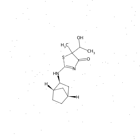 CC(O)C1(C)SC(N[C@H]2C[C@@H]3CC[C@H]2C3)=NC1=O